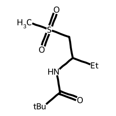 CCC(CS(C)(=O)=O)NC(=O)C(C)(C)C